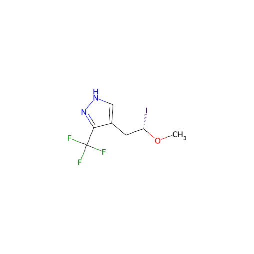 CO[C@@H](I)Cc1c[nH]nc1C(F)(F)F